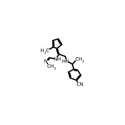 C/N=C\N/C(CNC(C)c1ccc(C#N)cc1)=C1/C=CC=C1C